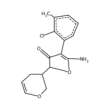 Cc1cccc(C2=C(N)OC(C3CC=COC3)C2=O)c1Cl